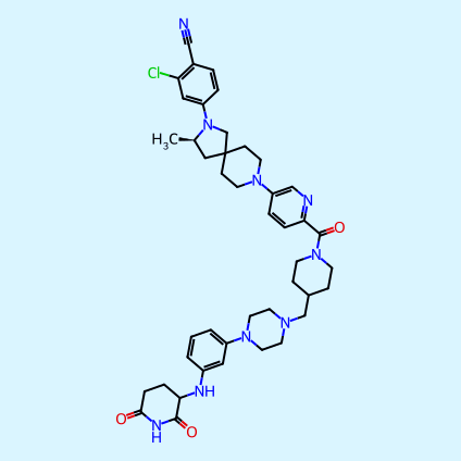 C[C@@H]1CC2(CCN(c3ccc(C(=O)N4CCC(CN5CCN(c6cccc(NC7CCC(=O)NC7=O)c6)CC5)CC4)nc3)CC2)CN1c1ccc(C#N)c(Cl)c1